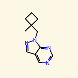 CC1(Cn2ncc3cncnc32)CCC1